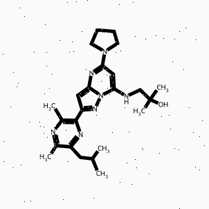 Cc1nc(C)c(-c2cc3nc(N4CCCC4)cc(NCC(C)(C)O)n3n2)nc1CC(C)C